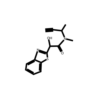 C#CC(C)N(C)C(=O)C(O)c1nc2ccccc2s1